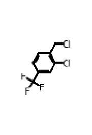 FC(F)(F)c1ccc(CCl)c(Cl)c1